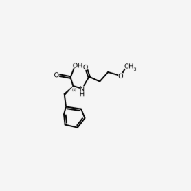 COCCC(=O)N[C@@H](Cc1ccccc1)C(=O)O